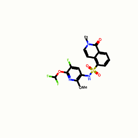 CCn1ccc2c(S(=O)(=O)Nc3cc(F)c(OC(F)F)nc3OC)cccc2c1=O